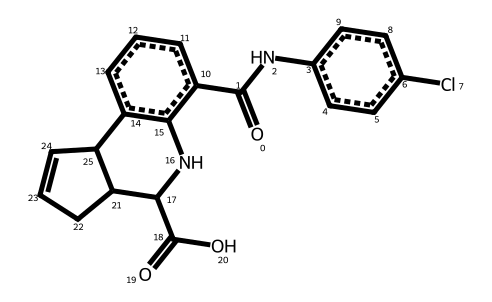 O=C(Nc1ccc(Cl)cc1)c1cccc2c1NC(C(=O)O)C1CC=CC21